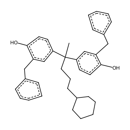 CC(CCCC1CCCCC1)(c1ccc(O)c(Cc2ccccc2)c1)c1ccc(O)c(Cc2ccccc2)c1